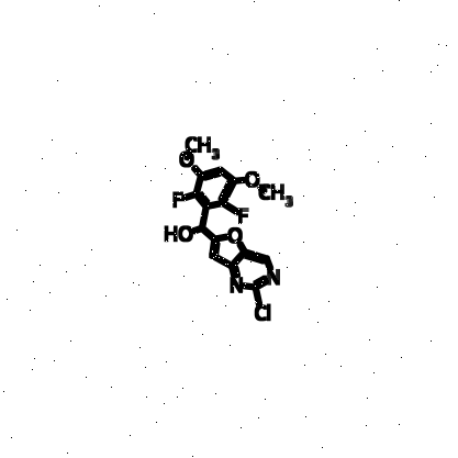 COc1cc(OC)c(F)c(C(O)c2cc3nc(Cl)ncc3o2)c1F